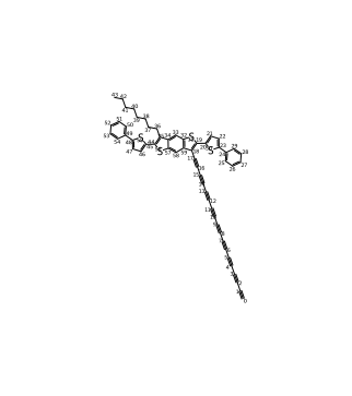 C#CC#CC#CC#CC#CC#CC#CC#CC#Cc1c(-c2ccc(-c3ccccc3)s2)sc2cc3c(CCCCCCCC)c(-c4ccc(-c5ccccc5)s4)sc3cc12